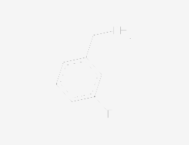 Fc1cccc(CP)c1